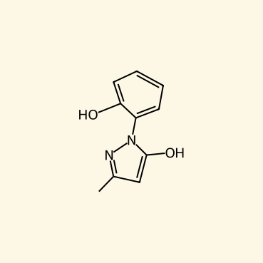 Cc1cc(O)n(-c2ccccc2O)n1